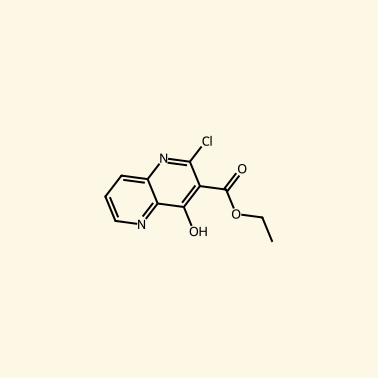 CCOC(=O)c1c(Cl)nc2cccnc2c1O